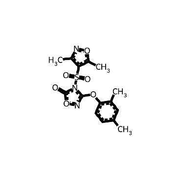 Cc1ccc(Oc2noc(=O)n2S(=O)(=O)c2c(C)noc2C)c(C)c1